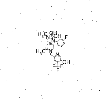 C[C@H]1C[C@]2(CCN1Cc1cc(C(F)(F)F)c(O)cn1)CN(C)S(O)(O)N2c1cccc(F)c1